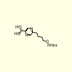 CCCCCCOCCCCc1cnc(B(O)O)cn1